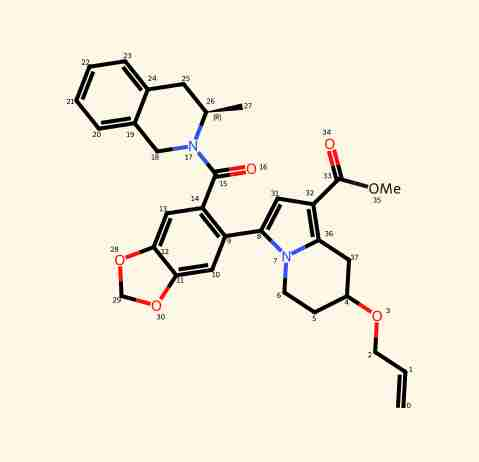 C=CCOC1CCn2c(-c3cc4c(cc3C(=O)N3Cc5ccccc5C[C@H]3C)OCO4)cc(C(=O)OC)c2C1